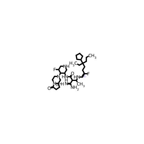 CCCC(CC)(CC/C(F)=C\NC(C)C(C(=N)N)C(=O)NC1CNCC(F)C1N1CCN2C(=O)CC[C@@H]2C1)C1CCCC1